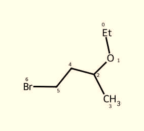 CCOC(C)CCBr